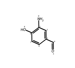 Nc1cc(C=O)ccc1O